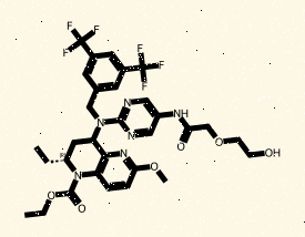 CCOC(=O)N1c2ccc(OC)nc2C(N(Cc2cc(C(F)(F)F)cc(C(F)(F)F)c2)c2ncc(NC(=O)COCCO)cn2)C[C@H]1CC